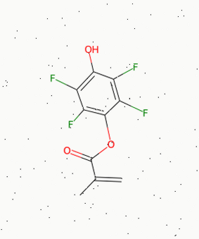 C=C(C)C(=O)Oc1c(F)c(F)c(O)c(F)c1F